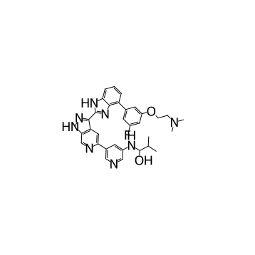 CC(C)C(O)Nc1cncc(-c2cc3c(-c4nc5c(-c6cc(F)cc(OCCN(C)C)c6)cccc5[nH]4)n[nH]c3cn2)c1